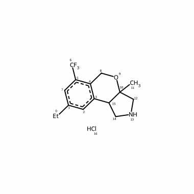 CCc1cc2c(c(C(F)(F)F)c1)COC1(C)CNCC21.Cl